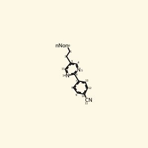 CCCCCCCCCCCc1cnc(-c2ccc(C#N)cc2)nc1